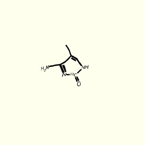 Cc1c[nH][13c](=O)nc1N